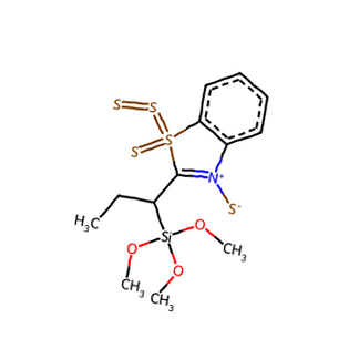 CCC(C1=[N+]([S-])c2ccccc2S1(=S)=S=S)[Si](OC)(OC)OC